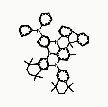 Cc1cc2c3c4c1C1(C)c5ccccc5-c5cccc(c51)N4c1cc(N(c4ccccc4)c4ccccc4)ccc1B3c1cc3c(cc1N2c1ccc2c(c1)C(C)(C)CCC2(C)C)C(C)(C)CCC3(C)C